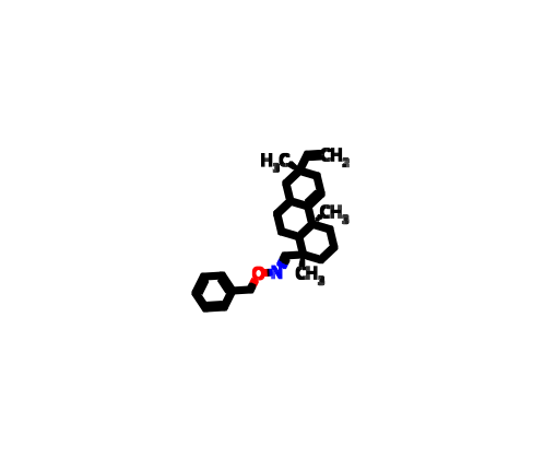 C=C[C@]1(C)CC=C2C(CCC3[C@@](C)(/C=N/OCc4ccccc4)CCC[C@]23C)C1